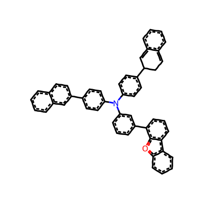 C1=c2ccccc2=CC(c2ccc(N(c3ccc(-c4ccc5ccccc5c4)cc3)c3cccc(-c4cccc5c4oc4ccccc45)c3)cc2)C1